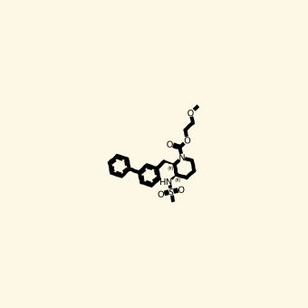 COCCOC(=O)N1CCC[C@@H](NS(C)(=O)=O)[C@H]1Cc1cccc(-c2ccccc2)c1